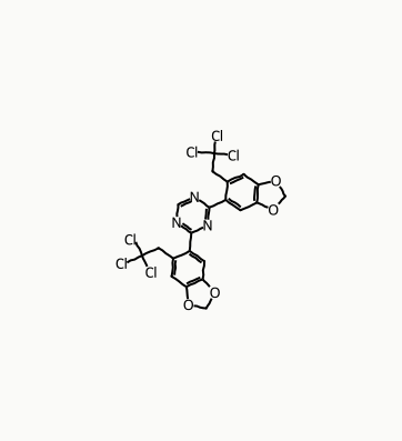 ClC(Cl)(Cl)Cc1cc2c(cc1-c1ncnc(-c3cc4c(cc3CC(Cl)(Cl)Cl)OCO4)n1)OCO2